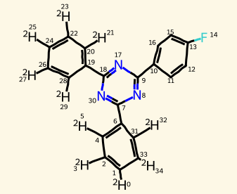 [2H]c1c([2H])c([2H])c(-c2nc(-c3ccc(F)cc3)nc(-c3c([2H])c([2H])c([2H])c([2H])c3[2H])n2)c([2H])c1[2H]